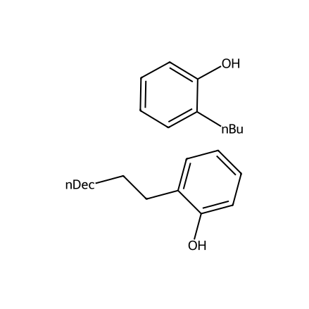 CCCCCCCCCCCCc1ccccc1O.CCCCc1ccccc1O